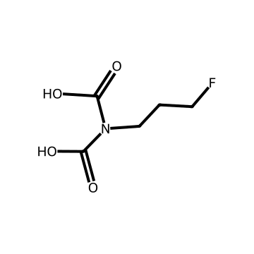 O=C(O)N(CCCF)C(=O)O